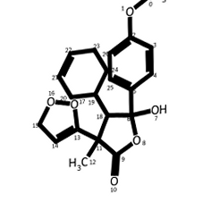 COc1ccc(C2(O)OC(=O)C(C)(C3=CCOO3)C2C2CC=CCC2)cc1